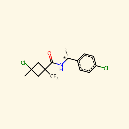 C[C@@H](NC(=O)C1(C(F)(F)F)CC(C)(Cl)C1)c1ccc(Cl)cc1